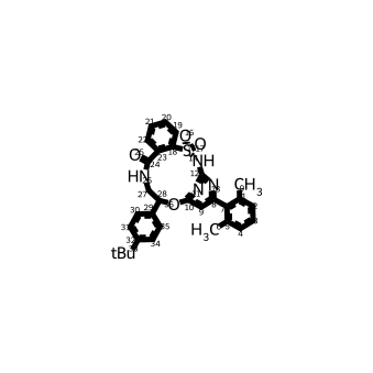 Cc1cccc(C)c1-c1cc2nc(n1)NS(=O)(=O)c1ccccc1C(=O)NCC(c1ccc(C(C)(C)C)cc1)O2